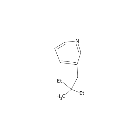 CCC(C)(CC)Cc1cccnc1